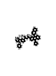 C=C(/C=C(\C=N)c1ccc2c(c1)c1cnccc1n2-c1ccccc1)c1ccc2c(-c3ccccc3)c3ccccc3c(-c3ccc4ccccc4c3)c2c1